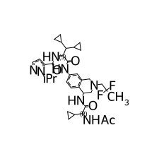 CC(=O)N[C@@H](C(=O)NC1CN(CC(C)(F)F)Cc2cc(NC(=O)[C@@H](NC(=O)c3ccnn3C(C)C)C(C3CC3)C3CC3)ccc21)C1CC1